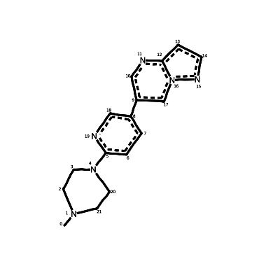 CN1CCN(c2ccc(-c3cnc4ccnn4c3)cn2)CC1